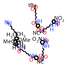 CC(C)(C)OC(=O)CCCCCCNC(=O)c1ccc(S(=O)(=O)N(CC#N)C(=O)CCCCCNc2ccc([N+](=O)[O-])c3nonc23)cc1.COc1cc(C(C)(C)CCCCCCN=[N+]=[N-])cc(OC)c1[C@H]1C=C(CNC(=O)CCCCCCNC(=O)c2ccc(S(=O)(=O)N(CC#N)C(=O)CCCCCNc3ccc([N+](=O)[O-])c4nonc34)cc2)[C@H]2C[C@@H]1C2(C)C